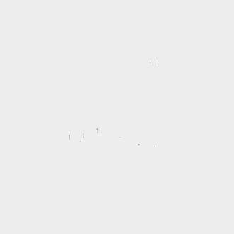 Cc1ccc(OC2CCN(C)CC2c2ccccc2)cc1